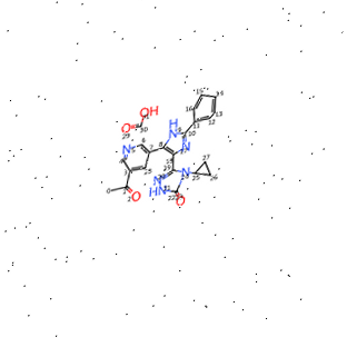 CC(=O)c1cncc(-c2[nH]c(-c3ccccc3)nc2-c2n[nH]c(=O)n2C2CC2)c1.O=CO